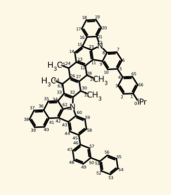 CC(C)c1ccc(-c2ccc3c(c2)c2c4c(cc5c6ccccc6n3c52)C(C)C2=C(C4C)C(C)c3c(c4cc5ccccc5c5c6cc(-c7cccc(-c8ccccc8)c7)ccc6n3c45)C2C)cc1